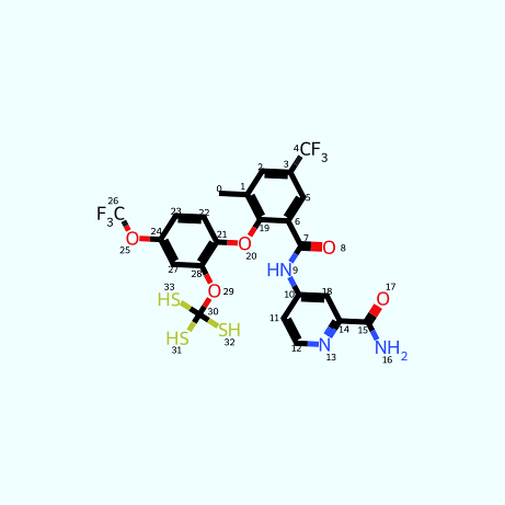 Cc1cc(C(F)(F)F)cc(C(=O)Nc2ccnc(C(N)=O)c2)c1Oc1ccc(OC(F)(F)F)cc1OC(S)(S)S